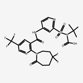 CC(C)(C)N(C(=O)O)S(=O)(=O)c1cc(NC(=O)c2cc(C(F)(F)F)cnc2N2CCC(F)(F)CCC2=O)ccn1